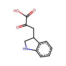 O=C(O)C(=O)CC1CNc2ccccc21